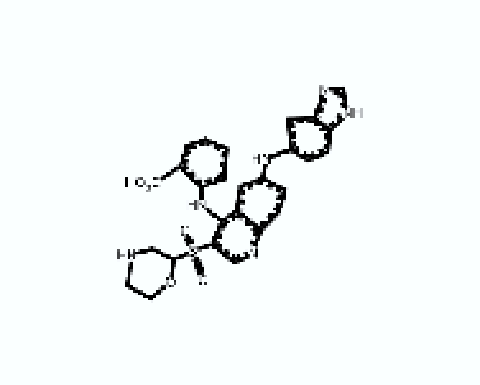 O=C(O)c1ccccc1Nc1c(S(=O)(=O)C2CNCCO2)cnc2ccc(Nc3ccc4[nH]cnc4c3)cc12